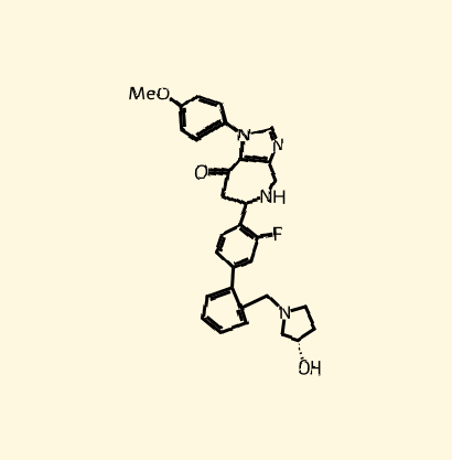 COc1ccc(-n2cnc3c2C(=O)CC(c2ccc(-c4ccccc4CN4CC[C@H](O)C4)cc2F)NC3)cc1